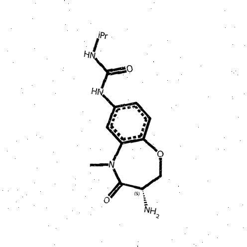 CC(C)NC(=O)Nc1ccc2c(c1)N(C)C(=O)[C@@H](N)CO2